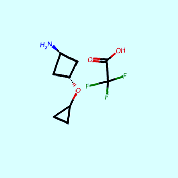 N[C@H]1C[C@H](OC2CC2)C1.O=C(O)C(F)(F)F